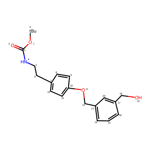 CC(C)(C)OC(=O)NCCc1ccc(OCc2cccc(CO)c2)cc1